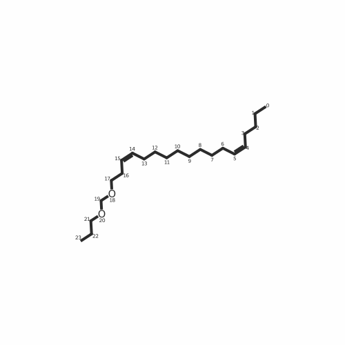 CCCC/C=C\CCCCCCCC/C=C\CCOCOCCC